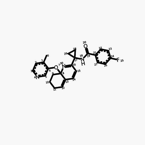 Cc1ccncc1OC12CCCC=C1C=CC(C1(NC(=O)c3ccc(F)cc3)CC1)=N2